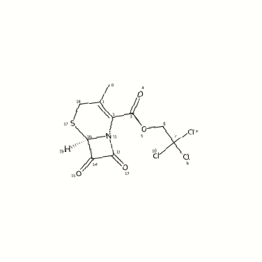 CC1=C(C(=O)OCC(Cl)(Cl)Cl)N2C(=O)C(=O)[C@H]2SC1